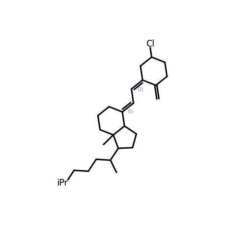 C=C1CCC(Cl)C/C1=C/C=C1\CCCC2(C)C1CCC2C(C)CCCC(C)C